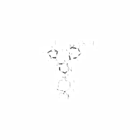 COc1ccc(-n2nc(N3CCC(F)(F)CC3)cc2-c2cc[nH]c2)nn1